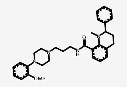 COc1ccccc1N1CCN(CCCNC(=O)c2cccc3c2N(C)C(c2ccccc2)CC3)CC1